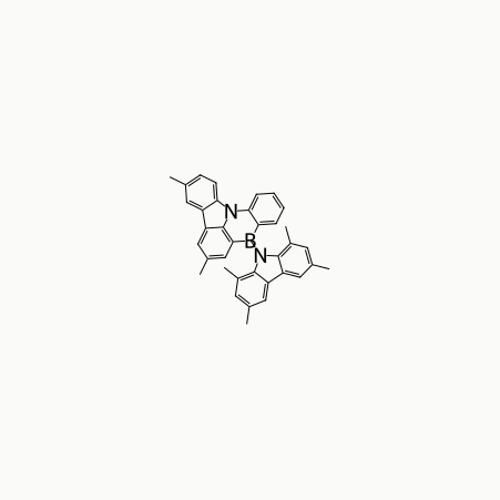 Cc1cc(C)c2c(c1)c1cc(C)cc(C)c1n2B1c2ccccc2-n2c3ccc(C)cc3c3cc(C)cc1c32